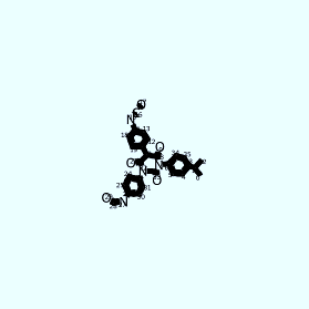 CC(C)c1ccc(N2C(=O)C(c3ccc(N=C=O)cc3)C(=O)N(c3ccc(N=C=O)cc3)C2=O)cc1